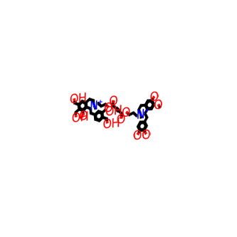 COc1ccc(CC2c3cc(OC)c(OC)cc3CC[N+]2(C)CCCOC(=O)C#CC(=O)OCCC[N+]2(C)CCc3cc(CO)c(CO)c(OC)c3C2Cc2ccc(CO)c(CO)c2)cc1OC